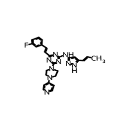 C/C=C/c1cc(Nc2nc(/C=C/c3cccc(F)c3)nc(N3CCN(c4ccncc4)CC3)n2)n[nH]1